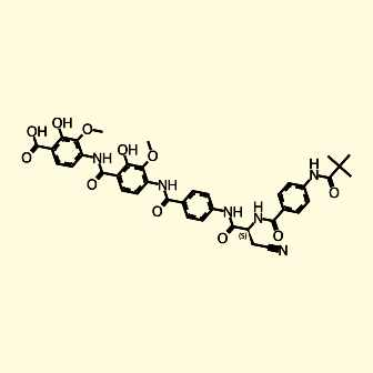 COc1c(NC(=O)c2ccc(NC(=O)c3ccc(NC(=O)[C@H](CC#N)NC(=O)c4ccc(NC(=O)C(C)(C)C)cc4)cc3)c(OC)c2O)ccc(C(=O)O)c1O